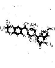 CC(c1cc2c(cc1F)OCC(C)(C)O2)N1C[C@H](C)N(c2cc(=O)n(C)c3cn(CC#N)nc23)C[C@H]1C